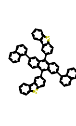 c1ccc2c(-c3ccc4c(-c5ccc6sc7ccccc7c6c5)c5cc(-c6cccc7ccccc67)ccc5c(-c5ccc6sc7ccccc7c6c5)c4c3)cccc2c1